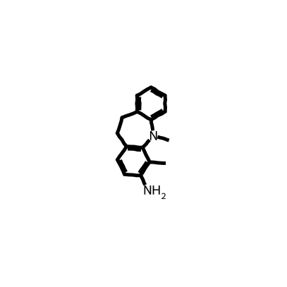 Cc1c(N)ccc2c1N(C)c1ccccc1CC2